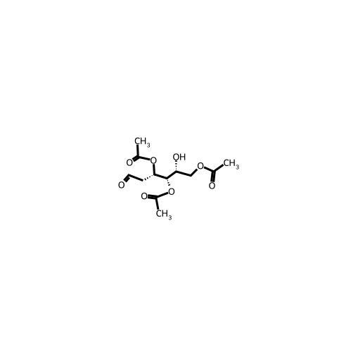 CC(=O)OC[C@@H](O)[C@H](OC(C)=O)[C@H](CC=O)OC(C)=O